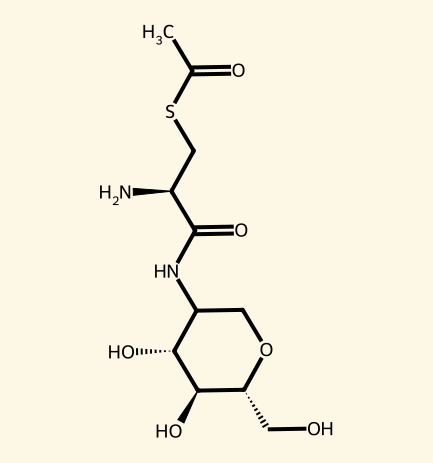 CC(=O)SC[C@H](N)C(=O)NC1CO[C@H](CO)[C@@H](O)[C@@H]1O